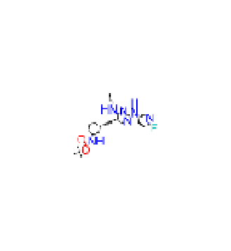 CCCNc1nc(Nc2ccc(F)nc2)ncc1C#C[C@@H]1CCC[C@H](NC(=O)OC(C)(C)C)C1